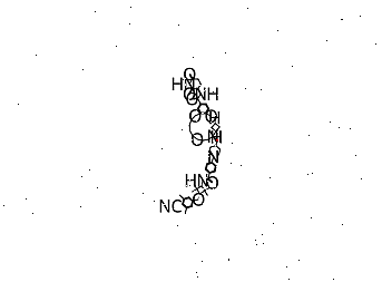 Cc1cc(O[C@H]2C(C)(C)[C@H](NC(=O)c3ccc(N4CCC(CN5CCOCCCCOc6cc(C(=O)NC7CCC(=O)NC7=O)ccc6O[C@H]6C[C@H]5C6)CC4)cc3)C2(C)C)cc(C)c1C#N